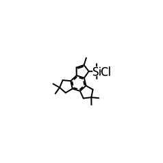 CC1=Cc2c3c(c4c(c2C1[Si](C)(C)Cl)CC(C)(C)C4)CC(C)(C)C3